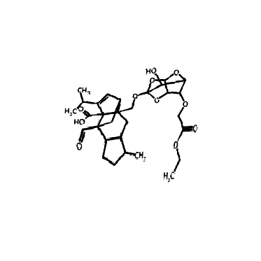 CCOC(=O)COC1C2OC3(OCC45CC6C(C)CCC6C6(C=O)CC4C=C(C(C)C)C65C(=O)O)OC2OC1C3O